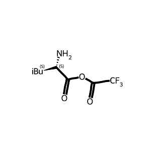 CC[C@H](C)[C@H](N)C(=O)OC(=O)C(F)(F)F